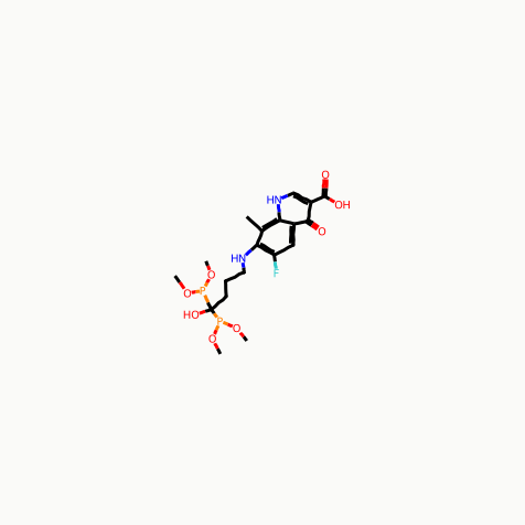 COP(OC)C(O)(CCCNc1c(F)cc2c(=O)c(C(=O)O)c[nH]c2c1C)P(OC)OC